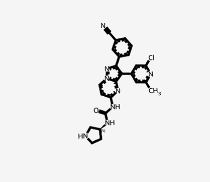 Cc1cc(-c2c(-c3cccc(C#N)c3)nn3ccc(NC(=O)N[C@H]4CCNC4)nc23)cc(Cl)n1